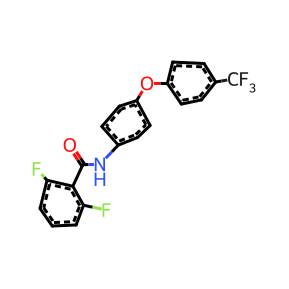 O=C(Nc1ccc(Oc2ccc(C(F)(F)F)cc2)cc1)c1c(F)cccc1F